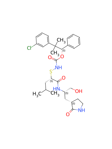 CC(C)C[C@H](SNC(=O)O[C@@H](c1ccccc1)C(C)(C)c1cccc(Cl)c1)C(=O)N[C@H](CO)C[C@@H]1CCNC1=O